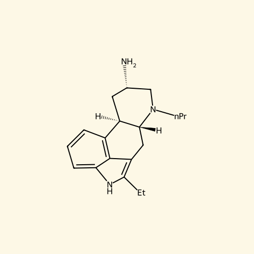 CCCN1C[C@@H](N)C[C@@H]2c3cccc4[nH]c(CC)c(c34)C[C@H]21